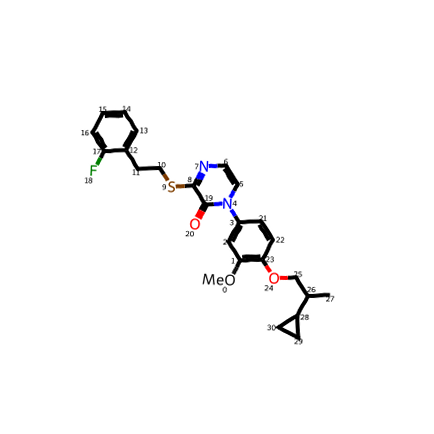 COc1cc(-n2ccnc(SCCc3ccccc3F)c2=O)ccc1OCC(C)C1CC1